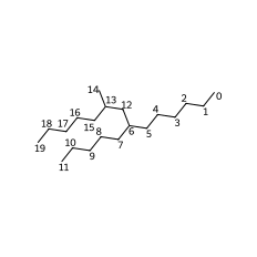 CCCCCCC(CCCCC)CC(C)CCCCC